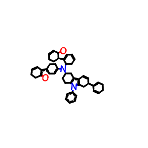 C1=CC(C2C=Cc3c4c(n(-c5ccccc5)c3C2)CCC(N(C2=Cc3oc5c(c3CC2)C=CCC5)C2CC=CC3=C2C2CCC=CC2O3)C4)=CCC1